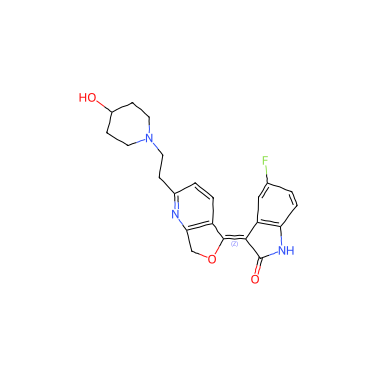 O=C1Nc2ccc(F)cc2/C1=C1/OCc2nc(CCN3CCC(O)CC3)ccc21